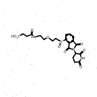 O=C(O)CCC(=O)NCCOCC[S+]([O-])c1cccc2c1C(=O)N(C1CCC(=O)NC1=O)C2=O